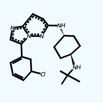 CC(C)(C)N[C@H]1CC[C@H](Nc2ccc3ncc(C4=CC=CC(Cl)C4)n3n2)CC1